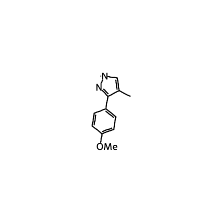 COc1ccc(C2=N[N]C=C2C)cc1